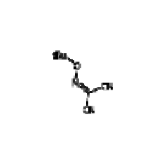 CC(C)(C)ON=C(C#N)C#N